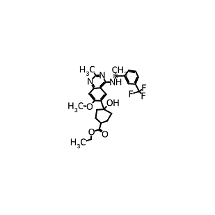 CCOC(=O)C1CCC(O)(c2cc3c(N[C@H](C)c4cccc(C(F)(F)F)c4)nc(C)nc3cc2OC)CC1